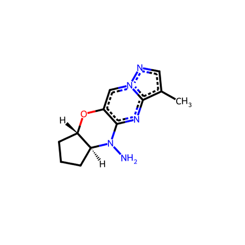 Cc1cnn2cc3c(nc12)N(N)[C@H]1CCC[C@@H]1O3